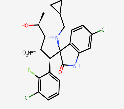 C[C@H](O)[C@H]1[C@@H]([N+](=O)[O-])[C@H](c2cccc(Cl)c2F)[C@]2(C(=O)Nc3cc(Cl)ccc32)N1CC1CC1